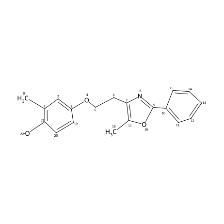 Cc1cc(OCCc2nc(-c3ccccc3)oc2C)ccc1[O]